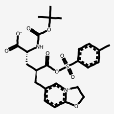 Cc1ccc(S(=O)(=O)OC(=O)[C@@H](Cc2ccc3[n+](c2)CCO3)C[C@@H](NC(=O)OC(C)(C)C)C(=O)[O-])cc1